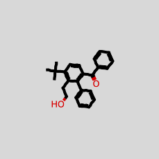 CC(C)(C)c1ccc(C(=O)c2ccccc2)c(-c2ccccc2)c1CCO